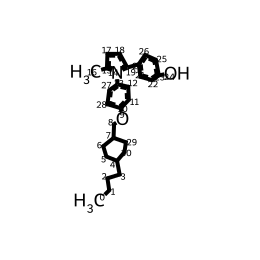 CCCCC1CCC(COc2ccc(-n3c(C)ccc3-c3ccc(O)cc3)cc2)CC1